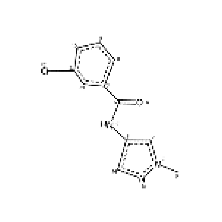 Cn1cc(NC(=O)c2cccc(Cl)c2)cn1